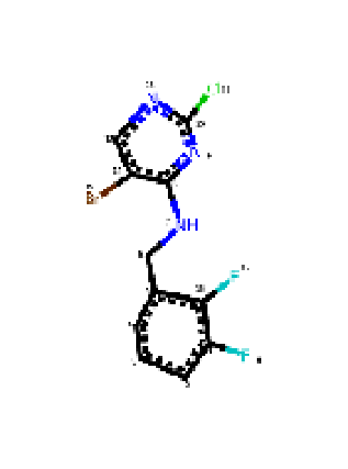 Fc1cccc(CNc2nc(Cl)ncc2Br)c1F